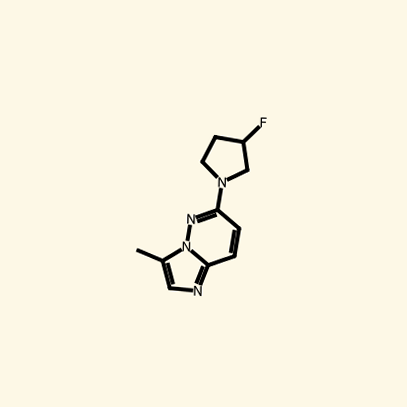 Cc1cnc2ccc(N3CCC(F)C3)nn12